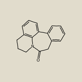 O=C1Cc2ccccc2-c2cccc3c2N1CCC3